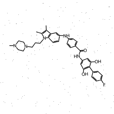 Cc1c(C)n(CCCN2CCN(C)CC2)c2ccc(Nc3ccc(C(=O)Nc4cc(O)c(-c5ccc(F)cc5)c(O)c4)cc3)cc12